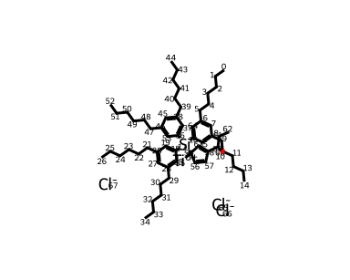 CCCCCCc1cc(CCCCCC)cc([Si](c2cc(CCCCCC)cc(CCCCCC)c2)(c2cc(CCCCCC)cc(CCCCCC)c2)[C]2([Ti+3])C=CC(C(C)CC)=C2)c1.[Cl-].[Cl-].[Cl-]